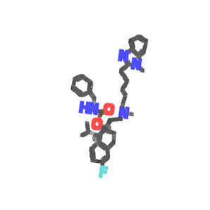 CC(C)[C@H]1c2ccc(F)cc2CC[C@@]1(CCN(C)CCCCCc1nc2ccccc2n1C)OC(=O)NCc1ccccc1